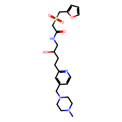 CN1CCN(Cc2ccnc(CCC(O)CNC(=O)CS(=O)(=O)Cc3ccco3)c2)CC1